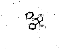 CCC(N)(C(=O)O)c1ccccc1.c1ccncc1